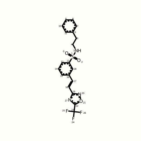 O=S(=O)(NCCc1ccccc1)c1cccc(/C=C/c2noc(C(F)(F)F)n2)c1